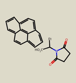 CCC(C(=O)O)N1C(=O)CCC1=O.c1cc2ccc3cccc4ccc(c1)c2c34